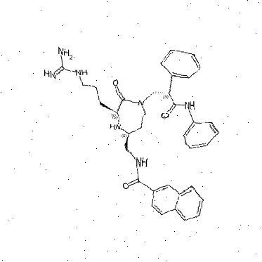 N=C(N)NCCC[C@@H]1N[C@H](CNC(=O)c2ccc3ccccc3c2)CCN(C[C@@H](C(=O)Nc2ccccc2)c2ccccc2)C1=O